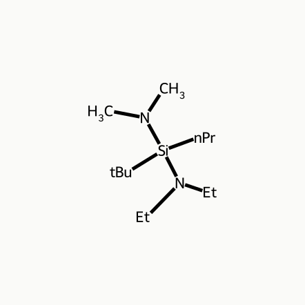 CCC[Si](N(C)C)(N(CC)CC)C(C)(C)C